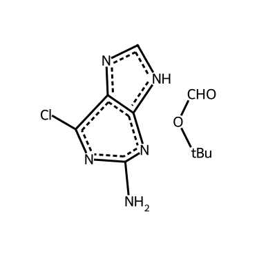 CC(C)(C)OC=O.Nc1nc(Cl)c2nc[nH]c2n1